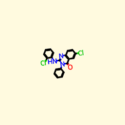 O=c1c2cc(Cl)ccc2nc(Nc2ccccc2Cl)n1-c1ccccc1